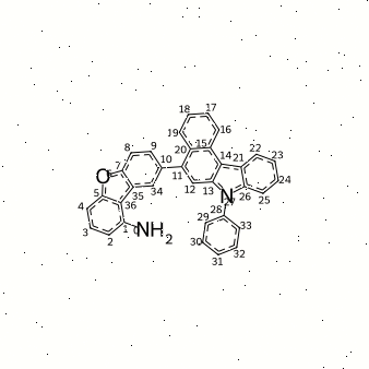 Nc1cccc2oc3ccc(-c4cc5c(c6ccccc46)c4ccccc4n5-c4ccccc4)cc3c12